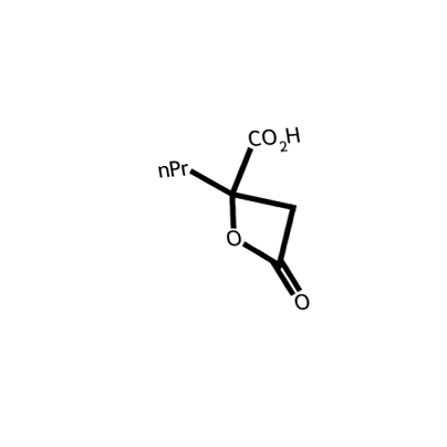 CCCC1(C(=O)O)CC(=O)O1